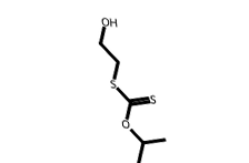 CC(C)OC(=S)SCCO